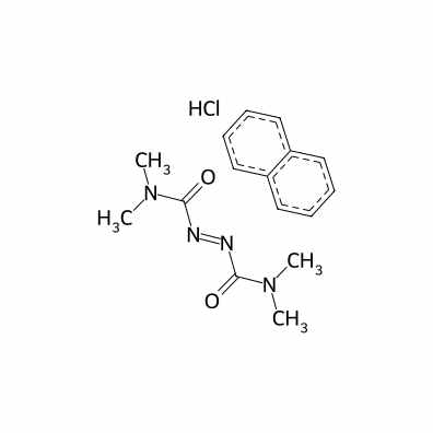 CN(C)C(=O)N=NC(=O)N(C)C.Cl.c1ccc2ccccc2c1